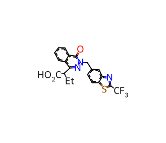 CCC(C(=O)O)c1nn(Cc2ccc3sc(C(F)(F)F)nc3c2)c(=O)c2ccccc12